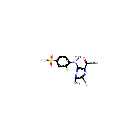 CNc1nc(N(C=O)c2ccc(S(C)(=O)=O)cc2F)c(C(=O)OC)nc1Cl